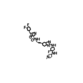 CN1CCC(Nc2ccc(Nc3ncc4cc(C#CCNC(=O)c5cncn(Cc6ccc(F)c(F)c6)c5=O)ccc4n3)cc2F)CC1